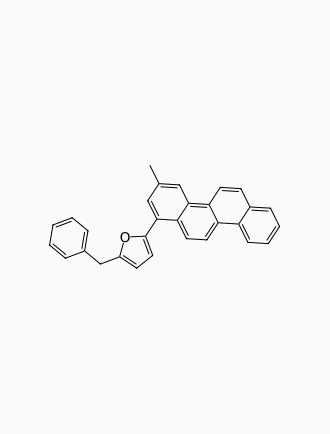 Cc1cc(-c2ccc(Cc3ccccc3)o2)c2ccc3c4ccccc4ccc3c2c1